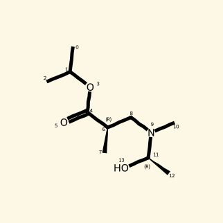 CC(C)OC(=O)[C@H](C)CN(C)[C@@H](C)O